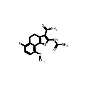 COc1ccc(F)c2c1-c1sc(NC(N)=O)c(C(N)=O)c1CC2